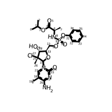 CC(C)OC(=O)[C@@H](C)NP(=O)(OC[C@H]1OC(n2cc(I)c(N)nc2=O)[C@](C)(Cl)[C@@H]1O)Oc1ccccc1